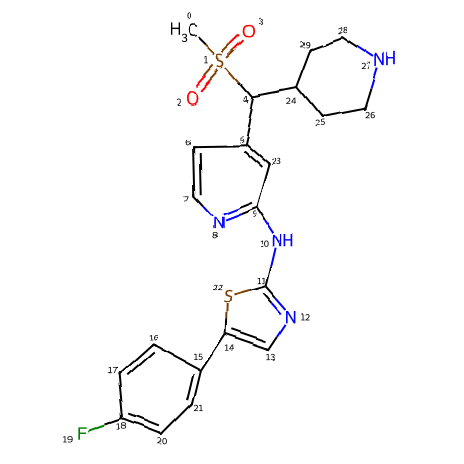 CS(=O)(=O)C(c1ccnc(Nc2ncc(-c3ccc(F)cc3)s2)c1)C1CCNCC1